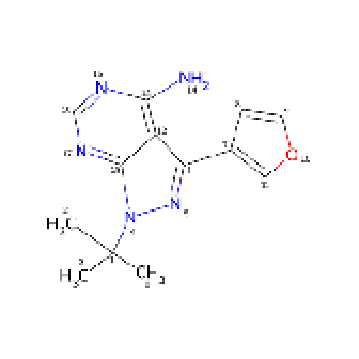 CC(C)(C)n1nc(-c2ccoc2)c2c(N)ncnc21